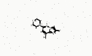 Cc1cn2nc(N3CCOCC3)cc(I)c2n1